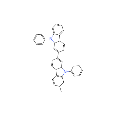 CC1C=CC2=C(C1)N(C1=CC=CCC1)C1C=C(C3=CC4C(C=C3)c3ccccc3N4c3ccccc3)C=CC21